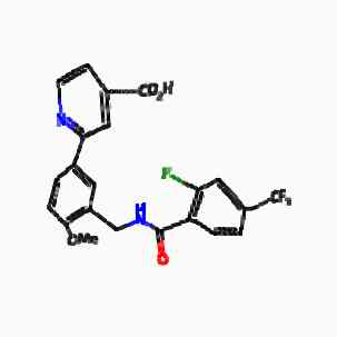 COc1ccc(-c2cc(C(=O)O)ccn2)cc1CNC(=O)c1ccc(C(F)(F)F)cc1F